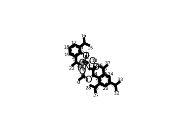 CC(=O)OC(C(=O)NS(=O)(=O)Oc1c(C(C)C)cccc1C(C)C)c1c(C(C)C)cc(C(C)C)cc1C(C)C